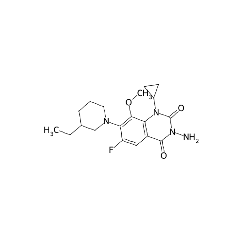 CCC1CCCN(c2c(F)cc3c(=O)n(N)c(=O)n(C4CC4)c3c2OC)C1